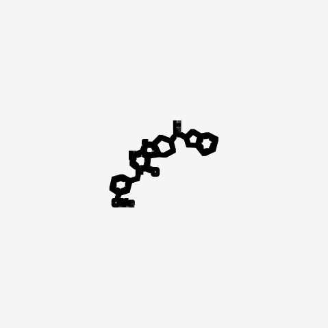 COc1cccc(Cn2cnc3sc4c(c3c2=O)CCC(NC2Cc3ccccc3C2)C4)c1